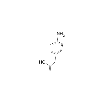 C=C(O)Cc1ccc(N)cc1